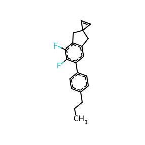 CCCc1ccc(-c2cc3c(c(F)c2F)CC2(C=C2)C3)cc1